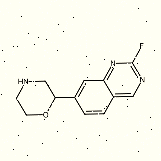 Fc1ncc2ccc(C3CNCCO3)cc2n1